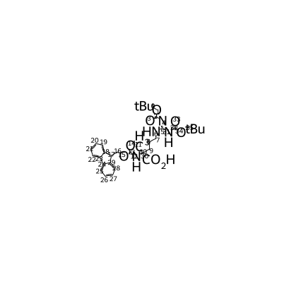 CC(C)(C)OC(=O)/N=C(\NCCC[C@](C)(NC(=O)OCC1c2ccccc2-c2ccccc21)C(=O)O)NC(=O)OC(C)(C)C